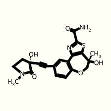 CN1CC[C@@](O)(C#Cc2ccc3c(c2)-c2nc(C(N)=O)sc2[C@](C)(O)CO3)C1=O